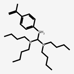 C=C(C)c1ccc([SiH2]C(N(CCCC)CCCC)N(CCCC)CCCC)cc1